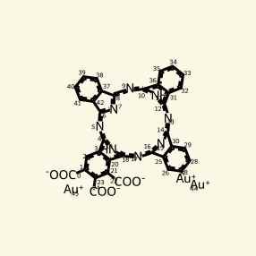 O=C([O-])c1cc2c3nc4nc(nc5[nH]c(nc6nc(nc([nH]3)c2c(C(=O)[O-])c1C(=O)[O-])-c1ccccc1-6)c1ccccc51)-c1ccccc1-4.[Au+].[Au+].[Au+]